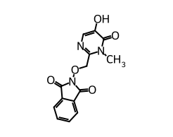 Cn1c(CON2C(=O)c3ccccc3C2=O)ncc(O)c1=O